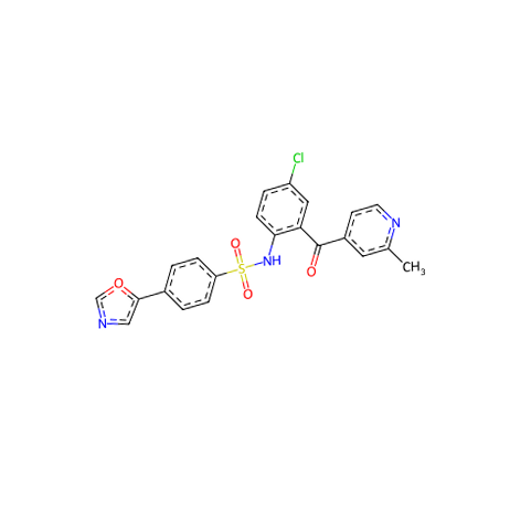 Cc1cc(C(=O)c2cc(Cl)ccc2NS(=O)(=O)c2ccc(-c3cnco3)cc2)ccn1